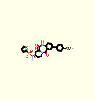 CSc1ccc(-c2ccc3c(c2)C(=O)N2CC[C@H](NS(=O)(=O)c4cccs4)C[C@H]2C(=O)N3)cc1